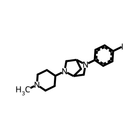 CN1CCC(N2CC3CC2CN3c2ccc(I)cc2)CC1